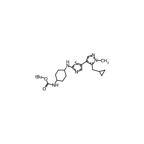 Cn1ncc(-c2cnc(NC3CCC(NC(=O)OC(C)(C)C)CC3)s2)c1CC1CC1